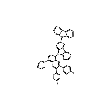 Fc1ccc(-c2nc3c(-c4ccccc4)cnc(-n4c5ccccc5c5cc(-n6c7ccccc7c7ccccc76)ccc54)c3nc2-c2ccc(F)cc2)cc1